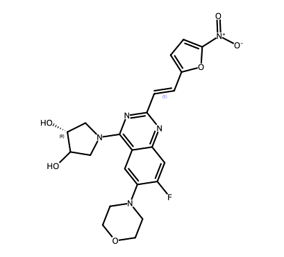 O=[N+]([O-])c1ccc(/C=C/c2nc(N3CC(O)[C@H](O)C3)c3cc(N4CCOCC4)c(F)cc3n2)o1